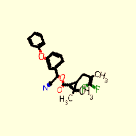 CC(CC1C(C(=O)OC(C#N)c2cccc(Oc3ccccc3)c2)C1(C)C)=C(F)F